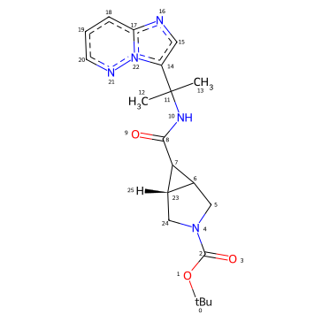 CC(C)(C)OC(=O)N1CC2C(C(=O)NC(C)(C)c3cnc4cccnn34)[C@H]2C1